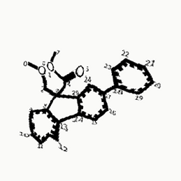 COCC1(C(=O)OC)c2ccccc2-c2ccc(-c3ccccc3)cc21